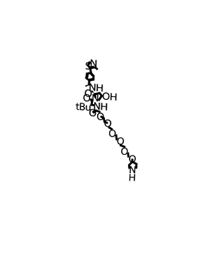 Cc1ncsc1-c1ccc([C@H](C)NC(=O)[C@@H]2C[C@@H](O)CN2C(=O)[C@@H](NC(=O)COCCOCCOCCOCCOCCOC2CCNCC2)C(C)(C)C)cc1